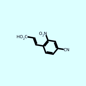 N#Cc1ccc(C=CC(=O)O)c([N+](=O)[O-])c1